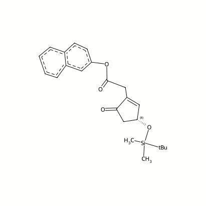 CC(C)(C)[Si](C)(C)O[C@H]1C=C(CC(=O)Oc2ccc3ccccc3c2)C(=O)C1